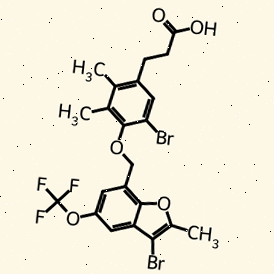 Cc1oc2c(COc3c(Br)cc(CCC(=O)O)c(C)c3C)cc(OC(F)(F)F)cc2c1Br